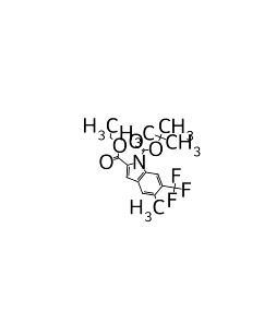 CCOC(=O)c1cc2cc(C)c(C(F)(F)F)cc2n1C(=O)OC(C)(C)C